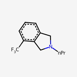 CCCN1Cc2cccc(C(F)(F)F)c2C1